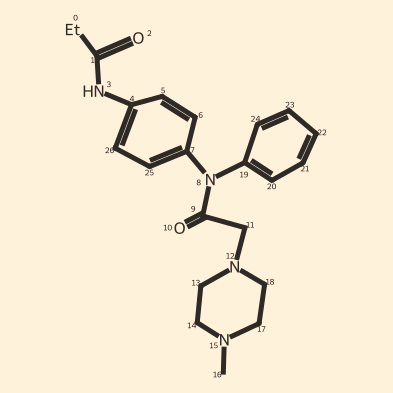 CCC(=O)Nc1ccc(N(C(=O)CN2CCN(C)CC2)c2ccccc2)cc1